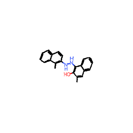 Cc1cc2ccccc2c(NNc2ccc3ccccc3c2C)c1O